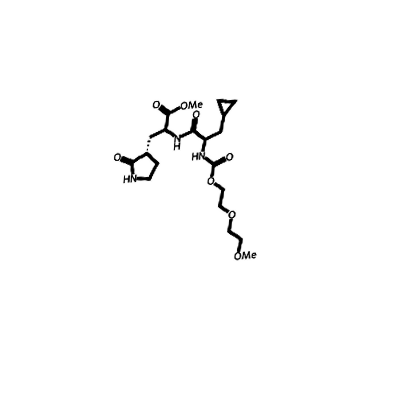 COCCOCCOC(=O)NC(CC1CC1)C(=O)NC(C[C@@H]1CCNC1=O)C(=O)OC